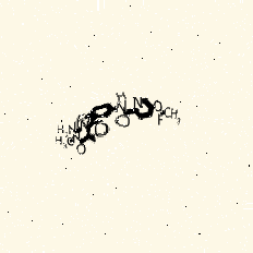 CC(F)Oc1ccc(C(=O)Nc2ccc(F)c(C34COCC3C(=O)N(C)C(N)=N4)c2)nc1